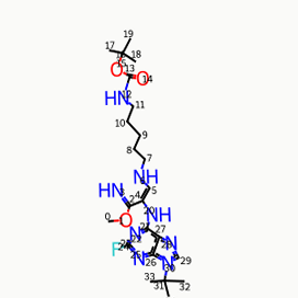 COC(=N)/C(=C\NCCCCCNC(=O)OC(C)(C)C)Nc1nc(F)nc2c1ncn2C(C)(C)C